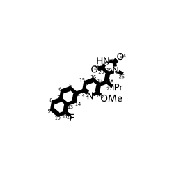 COc1nc(-c2ccc3cccc(F)c3c2)ccc1/C(=C1\C(=O)NC(=O)N1C)C(C)C